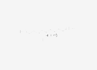 CC=O.CCCCCCCCCCCCCCCCOCCO.CCO